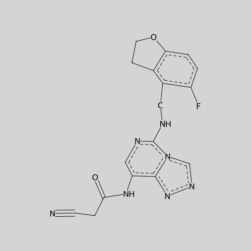 N#CCC(=O)Nc1cnc(NCc2c(F)ccc3c2CCO3)n2cnnc12